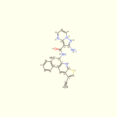 C#Cc1csc2nc(C(C)NC(=O)c3c(N)nn4cccnc34)c(-c3ccccc3)cc12